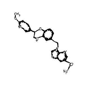 COc1cnc2c(c1)ncn2Cc1ccc2c(c1)OCC(c1ccc(OC)nc1)O2